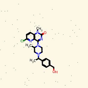 CC(c1ccc(CO)cc1)N1CCN(c2nc(=O)n(C)c3ccc(Cl)nc23)C(C)C1